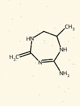 C=C1N=C(N)NC(C)CN1